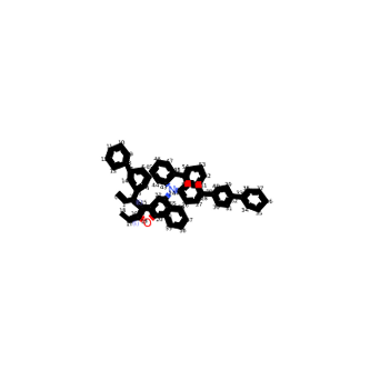 C=C/C(c1cccc(-c2ccccc2)c1)=c1\c(=C/C)oc2c1cc(N(c1ccc(-c3ccc(-c4ccccc4)cc3)cc1)c1ccccc1-c1ccccc1)c1ccccc12